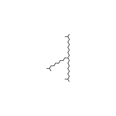 CC(C)CCCCCC[CH2][Al]([CH2]CCCCCCC(C)C)[CH2]CCCCCCC(C)C